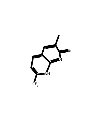 Cc1cc2ccc(C(F)(F)F)[nH]c-2nc1=S